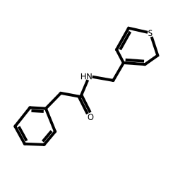 O=C(Cc1ccccc1)NCC1=CCSC=C1